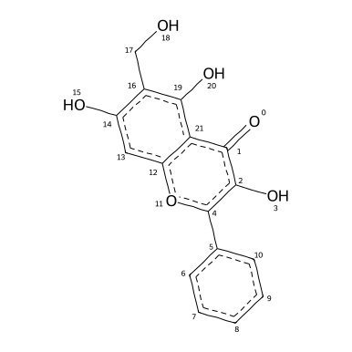 O=c1c(O)c(-c2ccccc2)oc2cc(O)c(CO)c(O)c12